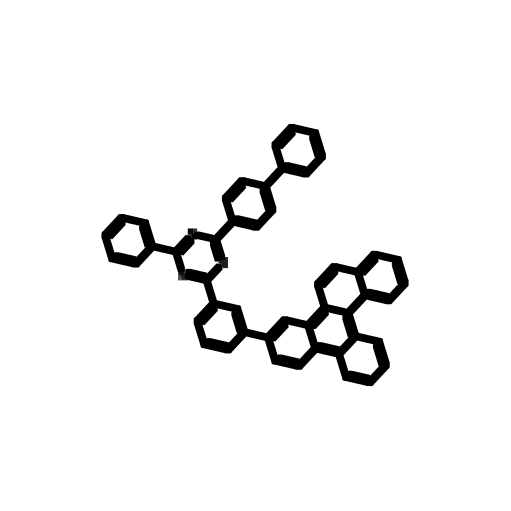 c1ccc(-c2ccc(-c3nc(-c4ccccc4)nc(-c4cccc(-c5ccc6c7ccccc7c7c8ccccc8ccc7c6c5)c4)n3)cc2)cc1